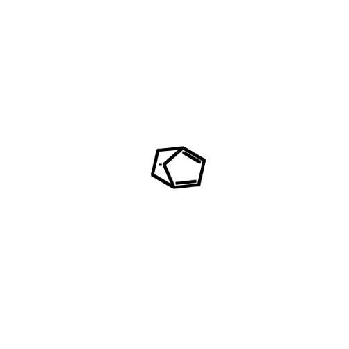 [CH]1C2=CC=C1CC2